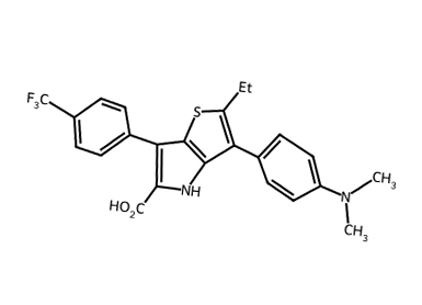 CCc1sc2c(-c3ccc(C(F)(F)F)cc3)c(C(=O)O)[nH]c2c1-c1ccc(N(C)C)cc1